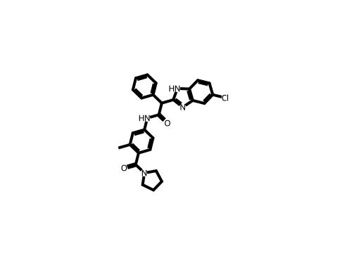 Cc1cc(NC(=O)C(c2ccccc2)c2nc3cc(Cl)ccc3[nH]2)ccc1C(=O)N1CCCC1